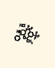 CC(O[C@H]1CCCN[C@H]1c1ccccc1)c1cc(C(F)(F)F)cc(C(F)(F)F)c1.Cl